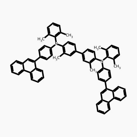 Cc1cc(-c2ccc(N(c3ccc(-c4cc5ccccc5c5ccccc45)cc3)c3c(C)cccc3C)c(C)c2)ccc1N(c1ccc(-c2cc3ccccc3c3ccccc23)cc1)c1c(C)cccc1C